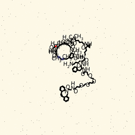 COc1cc2cc(c1Cl)N(C)C(=O)C[C@H](OC(=O)[C@H](C)N(C)C(=O)CCCCNC1(C(=O)CCCNC(=O)[C@H](CCCCN)NC(=O)C(Cc3ccccc3)NC(=O)CCOCCOCCOCCOCCC(=O)NCC(=O)N3Cc4ccccc4C#CC4C=CC=CC43)CC1)[C@]1(C)O[C@H]1[C@H](C)[C@@H]1C[C@@](O)(NC(=O)O1)[C@H](OC)/C=C/C=C(\C)C2